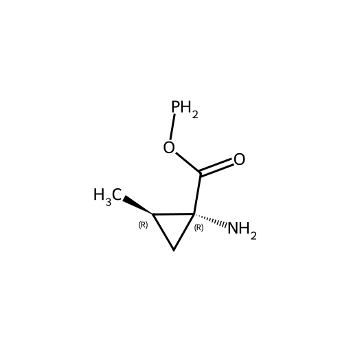 C[C@@H]1C[C@]1(N)C(=O)OP